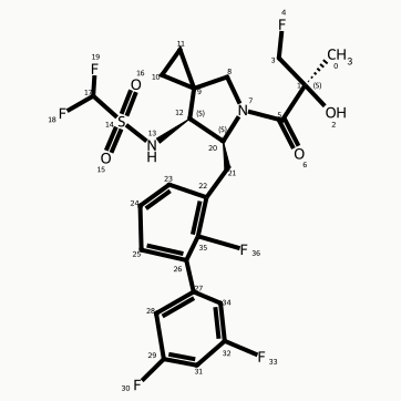 C[C@@](O)(CF)C(=O)N1CC2(CC2)[C@H](NS(=O)(=O)C(F)F)[C@@H]1Cc1cccc(-c2cc(F)cc(F)c2)c1F